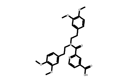 COc1ccc(CCN(CCc2ccc(OC)c(OC)c2)C(=O)c2cc(C(=O)O)ccn2)cc1OC